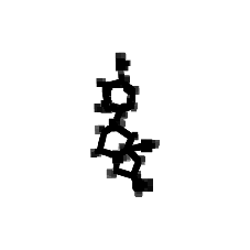 OC1C[C@H]2CN(c3ccc(Br)cn3)CCN2C1